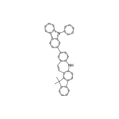 CC1(C)c2ccccc2-c2ccc3c(c21)C=Cc1cc(-c2ccc4c5ccccc5n(-c5ccccc5)c4c2)ccc1N3